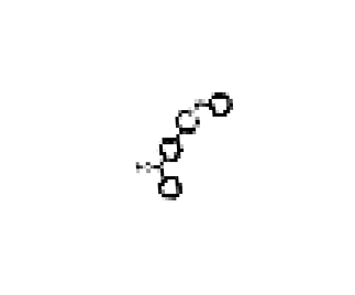 OC(c1ccccc1)c1ccc(C2=CCN(Cc3ccccc3)CC2)cc1